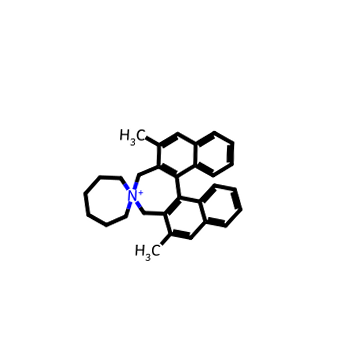 Cc1cc2ccccc2c2c1C[N+]1(CCCCCC1)Cc1c(C)cc3ccccc3c1-2